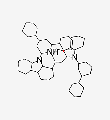 C1CCC(C2CCCC(N3C4CCCCC4C4CCC(C5CCCC6C7CCCCC7N(C7CC(C8CCCCC8)CC(C8CCCCC8)N7)C56)CC43)C2)CC1